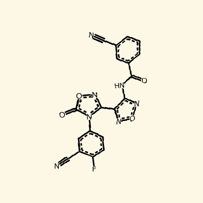 N#Cc1cccc(C(=O)Nc2nonc2-c2noc(=O)n2-c2ccc(F)c(C#N)c2)c1